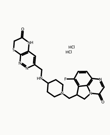 Cl.Cl.O=C1CSc2nnc(CNC3CCN(CC4Cn5c(=O)cnc6ccc(F)c4c65)CC3)cc2N1